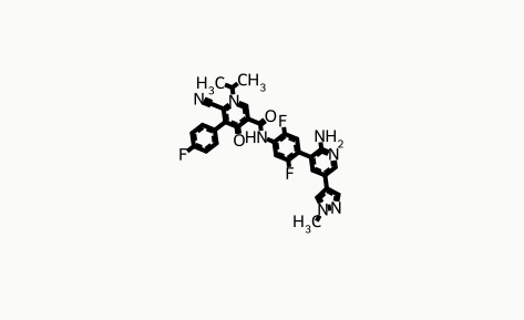 CC(C)n1cc(C(=O)Nc2cc(F)c(-c3cc(-c4cnn(C)c4)cnc3N)cc2F)c(=O)c(-c2ccc(F)cc2)c1C#N